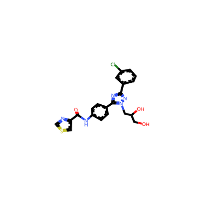 O=C(Nc1ccc(-c2nc(-c3cccc(Cl)c3)nn2CC(O)CO)cc1)c1cscn1